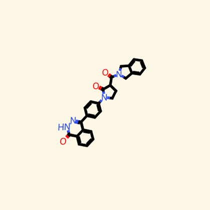 O=C(C1CCN(c2ccc(-c3n[nH]c(=O)c4ccccc34)cc2)C1=O)N1Cc2ccccc2C1